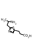 CC(N)Cc1ncc(CCC(=O)O)s1